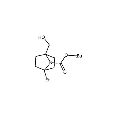 CCC12CCC(CO)(CC1)N2C(=O)OC(C)(C)C